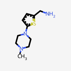 CN1CCN(c2ccc(CN)s2)CC1